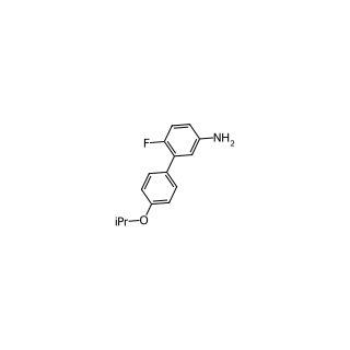 CC(C)Oc1ccc(-c2cc(N)ccc2F)cc1